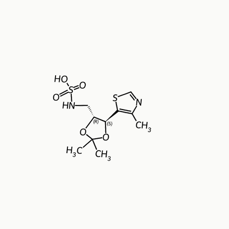 Cc1ncsc1[C@H]1OC(C)(C)O[C@@H]1CNS(=O)(=O)O